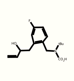 C=CC(O)Cc1cc(F)ccc1CN(C(=O)O)C(C)(C)C